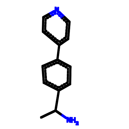 CC(N)c1ccc(-c2ccncc2)cc1